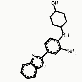 Nc1cc(-c2nc3ccccc3o2)ccc1NC1CCC(O)CC1